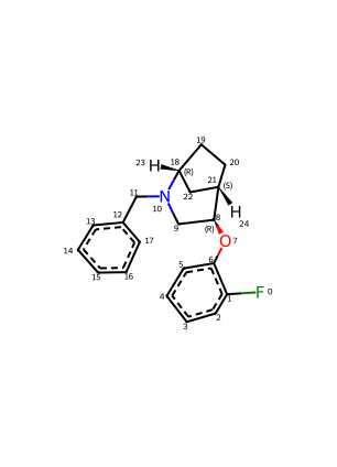 Fc1ccccc1O[C@H]1CN(Cc2ccccc2)[C@@H]2CC[C@H]1C2